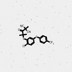 CC(C#N)(C#N)C(=O)C(C)(C)Sc1cc(Sc2ccc(C(F)(F)F)cc2)ccc1Cl